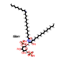 CCCCCCCC/C=C\CCCCCCCCCCCCCC(=O)N[C@@H](CO[C@@H]1O[C@H](COS(=O)(=O)O)[C@H](O)[C@H](O)[C@H]1OS(=O)(=O)O)[C@H](O)/C=C/CCCCCCCCCCCCC.[NaH].[NaH]